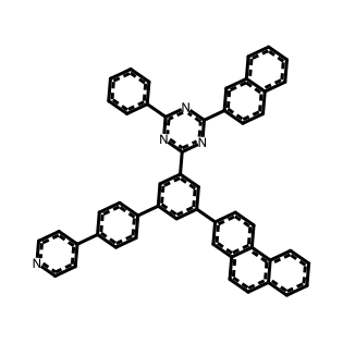 c1ccc(-c2nc(-c3cc(-c4ccc(-c5ccncc5)cc4)cc(-c4ccc5c(ccc6ccccc65)c4)c3)nc(-c3ccc4ccccc4c3)n2)cc1